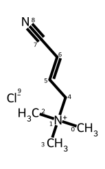 C[N+](C)(C)C/C=C/C#N.[Cl-]